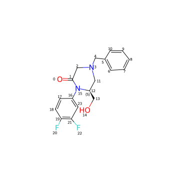 O=C1CN(Cc2ccccc2)C[C@@H](CO)N1c1ccc(F)c(F)c1